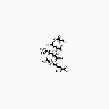 C[C@H](N)C(=O)O.N=C(N)NCCC[C@H](N)C(=O)O.NCCCC[C@H](N)C(=O)O.N[C@@H](CCC(=O)O)C(=O)O.N[C@@H](CS)C(=O)O